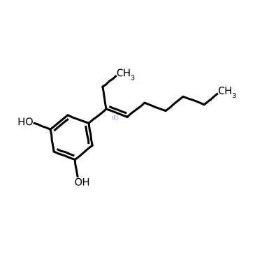 CCCCC/C=C(\CC)c1cc(O)cc(O)c1